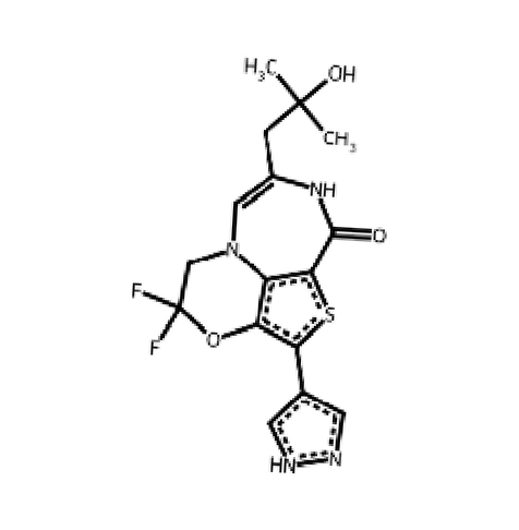 CC(C)(O)CC1=CN2CC(F)(F)Oc3c(-c4cn[nH]c4)sc(c32)C(=O)N1